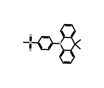 CC1(C)c2ccccc2N(c2ccc(S(C)(=O)=O)cc2)c2ccccc21